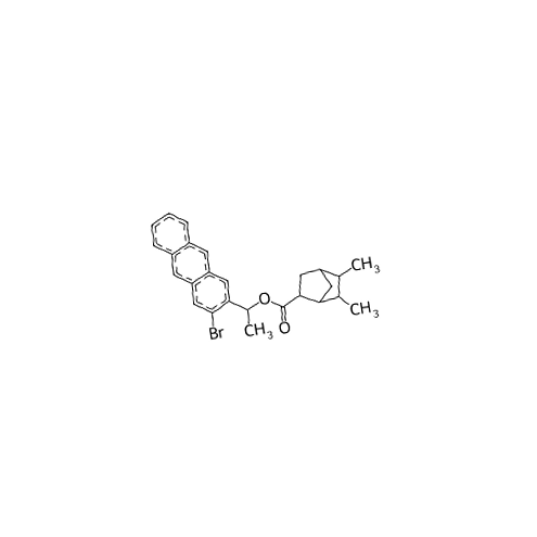 CC(OC(=O)C1CC2CC1C(C)C2C)c1cc2cc3ccccc3cc2cc1Br